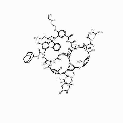 C=C1N[C@H](C(=O)NC2C3CC4CC(C3)CC2C4)c2cc(O)cc3c2-c2cc(ccc2C3(O)O)[C@H]2NC(=O)C3NC(=O)[C@H](CC(=O)NC(=O)c4ccc(OCCNCC)c(OCCNCC)c4)NC(=O)[C@H](NC(=O)[C@@H](CC(C)C)NC)C(O)c4ccc(c(C)c4)Oc4cc3cc(c4O[C@@H]3O[C@@H]4CNC(=O)O[C@H]4C(O)[C@H]3O)Oc3ccc(cc3Cl)[C@@H](O)[C@@H]1NC2=O